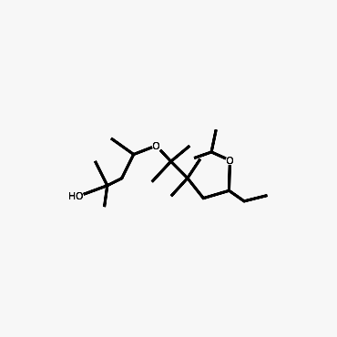 CCC(CC(C)(C)C(C)(C)OC(C)CC(C)(C)O)OC(C)C